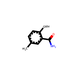 [CH2]c1ccc(OC)c(C(N)=O)c1